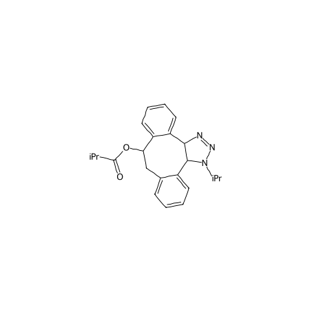 CC(C)C(=O)OC1Cc2ccccc2C2C(N=NN2C(C)C)c2ccccc21